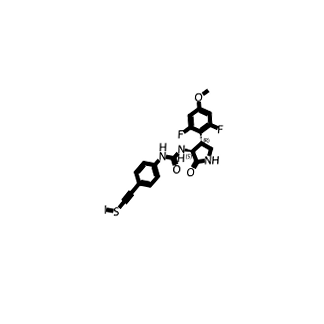 COc1cc(F)c([C@@H]2CNC(=O)[C@H]2NC(=O)Nc2ccc(C#CSI)cc2)c(F)c1